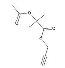 C#CCOC(=O)C(C)(C)OC(C)=O